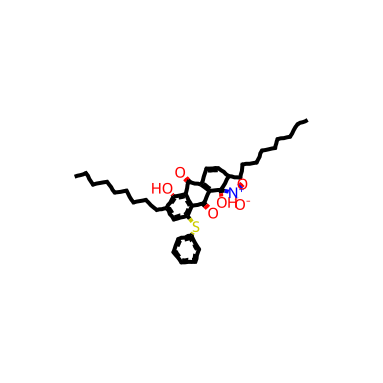 CCCCCCCCCc1cc(Sc2ccccc2)c2c(c1O)C(=O)C1=C(C2=O)C(O)([N+](=O)[O-])C(CCCCCCCCC)C=C1